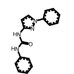 O=C(Nc1ccccc1)Nc1ccn(-c2ccccc2)n1